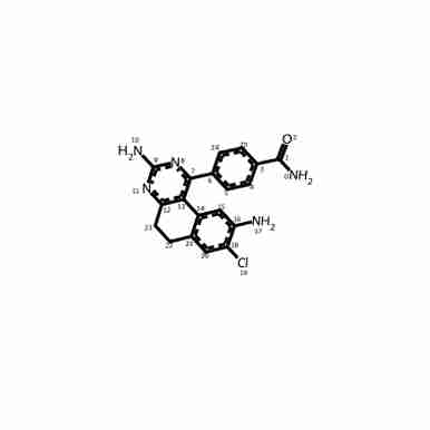 NC(=O)c1ccc(-c2nc(N)nc3c2-c2cc(N)c(Cl)cc2CC3)cc1